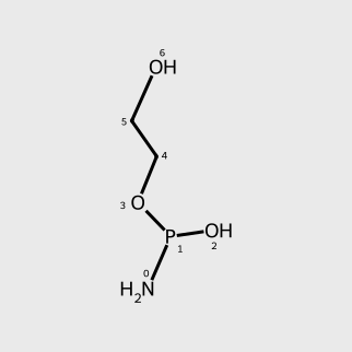 NP(O)OCCO